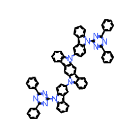 c1ccc(-c2nc(-c3ccccc3)nc(-n3c4ccccc4c4cc(-n5c6ccccc6c6cc7c(cc65)c5ccccc5n7-c5ccc6c(c5)c5ccccc5n6-c5nc(-c6ccccc6)nc(-c6ccccc6)n5)ccc43)n2)cc1